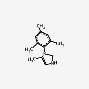 CC1=CN[C]N1c1c(C)cc(C)cc1C